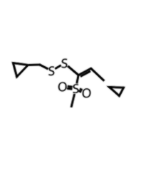 C1CC1.CC=C(SSCC1CC1)S(C)(=O)=O